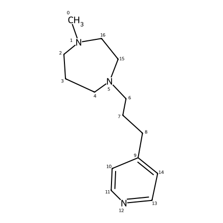 CN1CCCN(CCCc2ccncc2)CC1